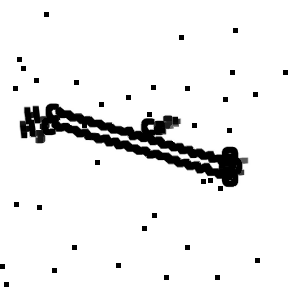 CCCCCCCCCCCCCCCCCCCCCCCCCCCCCCCCCCCC(=O)[O-].CCCCCCCCCCCCCCCCCCCCCCCCCCCCCCCCCCCC(=O)[O-].[Ca+2]